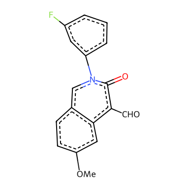 COc1ccc2cn(-c3cccc(F)c3)c(=O)c(C=O)c2c1